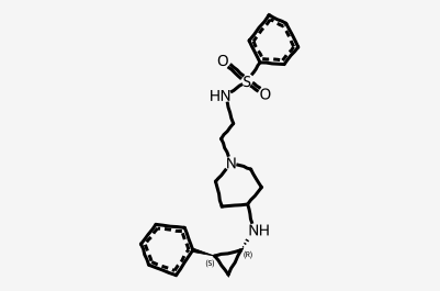 O=S(=O)(NCCN1CCC(N[C@@H]2C[C@H]2c2ccccc2)CC1)c1ccccc1